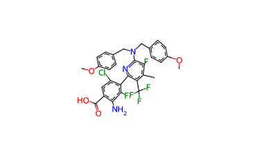 COc1ccc(CN(Cc2ccc(OC)cc2)c2nc(-c3c(Cl)cc(C(=O)O)c(N)c3F)c(C(F)(F)F)c(C)c2F)cc1